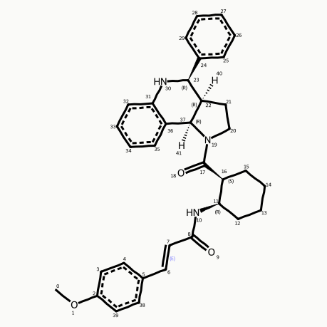 COc1ccc(/C=C/C(=O)N[C@@H]2CCCC[C@@H]2C(=O)N2CC[C@@H]3[C@H](c4ccccc4)Nc4ccccc4[C@@H]32)cc1